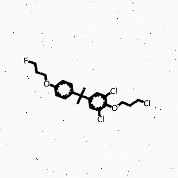 CC(C)(c1ccc(OCCCF)cc1)c1cc(Cl)c(OCCCCl)c(Cl)c1